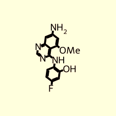 COc1cc(N)cc2ncnc(Nc3ccc(F)cc3O)c12